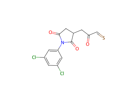 O=C(C=S)CC1CC(=O)N(c2cc(Cl)cc(Cl)c2)C1=O